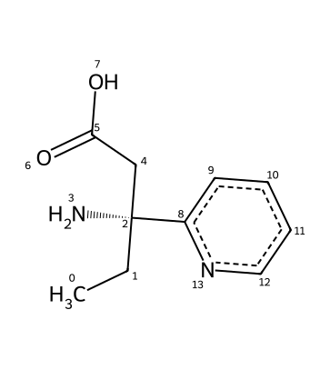 CC[C@@](N)(CC(=O)O)c1ccccn1